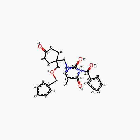 Cc1cn(CC2(COCc3ccccc3)CCC(=O)CC2)c(=O)n(C(=O)c2ccccc2)c1=O